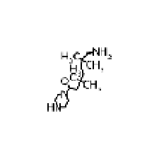 CC(C)(CN)CCC(C)(C)CC(=O)N1CCNCC1